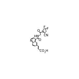 N#CC1CC(F)(F)CN1C(=O)CNC(=O)c1ccnc2ccc(/C=C/C(=O)O)cc12